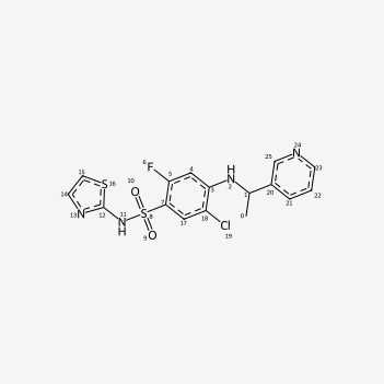 CC(Nc1cc(F)c(S(=O)(=O)Nc2nccs2)cc1Cl)c1cccnc1